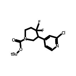 CC(C)(C)OC(=O)N1CCC(F)(F)C(c2ccnc(Cl)c2)C1